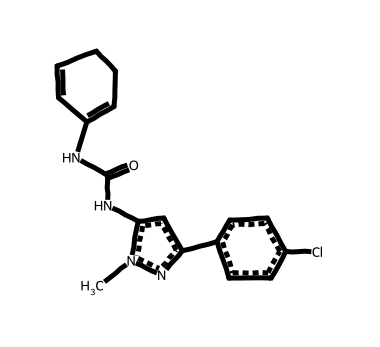 Cn1nc(-c2ccc(Cl)cc2)cc1NC(=O)NC1=CCCC=C1